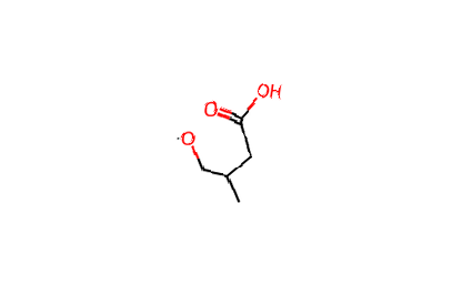 CC(C[O])CC(=O)O